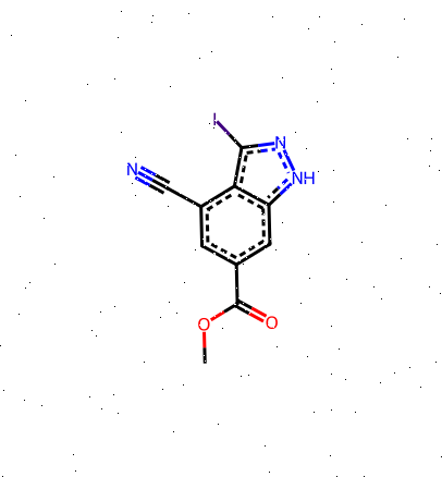 COC(=O)c1cc(C#N)c2c(I)n[nH]c2c1